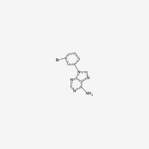 Nc1ncnc2c1ncn2-c1cccc(Br)c1